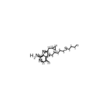 CCCCSCCCCCn1c(CC2CC2)nc2c(N)ncc(C)c21